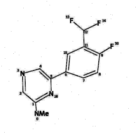 CNc1cncc(-c2ccc(F)c(C(F)F)c2)n1